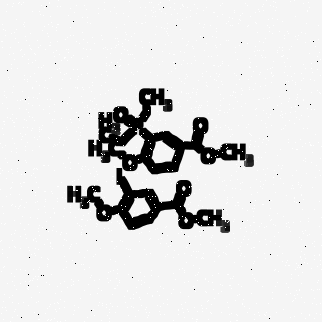 CCP(=O)(CC)c1cc(C(=O)OC)ccc1OC.COC(=O)c1ccc(OC)c(I)c1